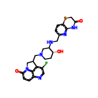 O=C1CSc2ccc(CNC3CN(CC4Cn5c(=O)ccc6ncc(F)c4c65)CC[C@H]3O)nc2N1